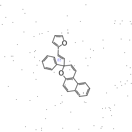 C1=CC(/C=C/c2ccco2)(c2ccccc2)Oc2ccc3ccccc3c21